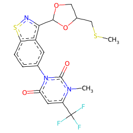 CSCC1COC(c2nsc3ccc(-n4c(=O)cc(C(F)(F)F)n(C)c4=O)cc23)O1